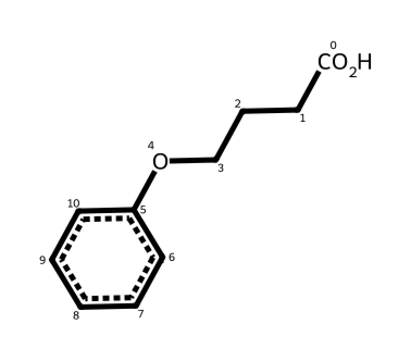 O=C(O)CCCOc1[c]cccc1